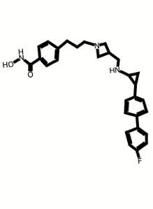 O=C(NO)c1ccc(CCCN2CC(CNC3CC3c3ccc(-c4ccc(F)cc4)cc3)C2)cc1